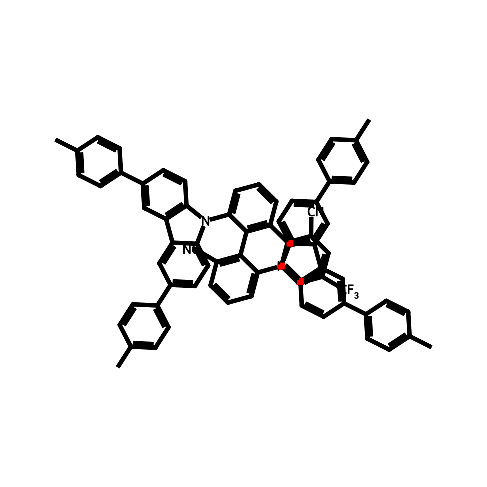 Cc1ccc(-c2ccc3c(c2)c2cc(-c4ccc(C)cc4)ccc2n3-c2cccc(C#N)c2-c2c(-c3ccc(C(F)(F)F)cc3C#N)cccc2-n2c3ccc(-c4ccc(C)cc4)cc3c3cc(-c4ccc(C)cc4)ccc32)cc1